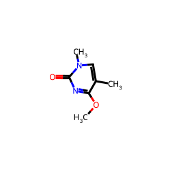 COc1nc(=O)n(C)cc1C